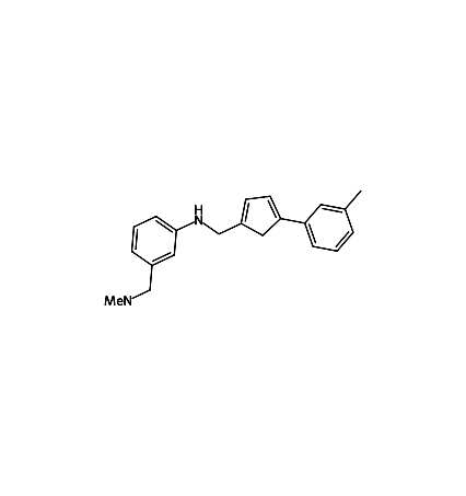 CNCc1cccc(NCC2=CC=C(c3cccc(C)c3)C2)c1